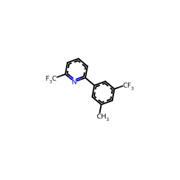 Cc1cc(-c2cccc(C(F)(F)F)n2)cc(C(F)(F)F)c1